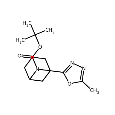 Cc1nnc(C23CCCC(C2)N3C(=O)OC(C)(C)C)o1